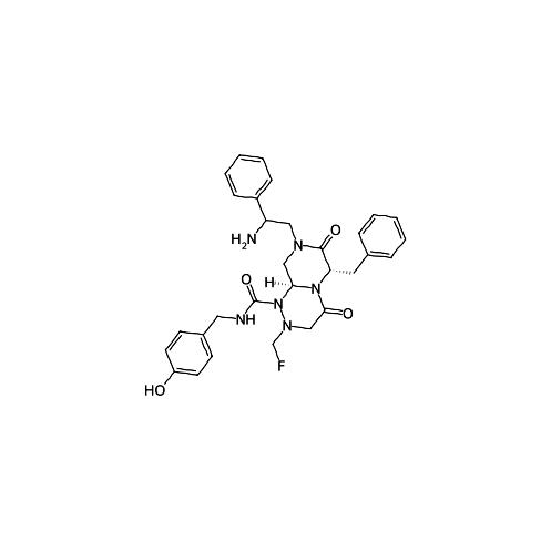 NC(CN1C[C@H]2N(C(=O)CN(CF)N2C(=O)NCc2ccc(O)cc2)[C@@H](Cc2ccccc2)C1=O)c1ccccc1